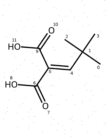 CC(C)(C)C=C(C(=O)O)C(=O)O